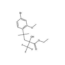 CCOC(=O)C(O)(CC(C)(C)c1ccc(Br)cc1OC)C(F)(F)F